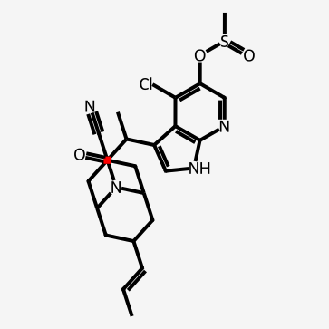 CC=CC1CC2CC(C#N)CC(C1)N2C(=O)C(C)c1c[nH]c2ncc(OS(C)=O)c(Cl)c12